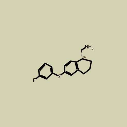 NC[C@@H]1CCCc2cc(Sc3cccc(F)c3)ccc21